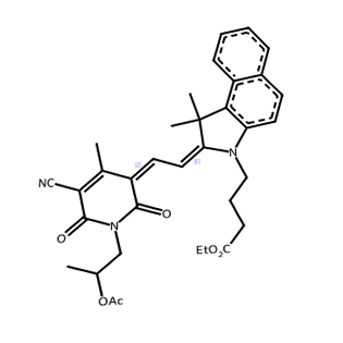 CCOC(=O)CCCN1/C(=C/C=C2\C(=O)N(CC(C)OC(C)=O)C(=O)C(C#N)=C2C)C(C)(C)c2c1ccc1ccccc21